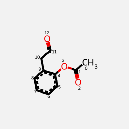 CC(=O)Oc1ccccc1C[C]=O